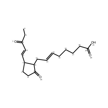 CCC(=O)C=CC1CCC(=O)C1CC=CCCCCC(=O)O